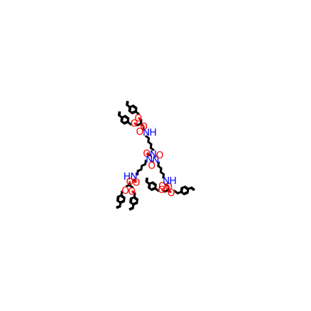 C=Cc1ccc(CCOC(COCc2ccc(C=C)cc2)OC(=O)NCCCCCCn2c(=O)n(CCCCCCNC(=O)OC(COCc3ccc(C=C)cc3)COCc3ccc(C=C)cc3)c(=O)n(CCCCCCNC(=O)OC(COCc3ccc(C=C)cc3)COCc3ccc(C=C)cc3)c2=O)cc1